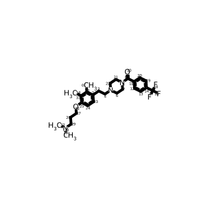 Cc1c(CCN2CCN(C(=O)c3ccc(C(F)(F)F)cc3)CC2)ccc(OCCCN(C)C)c1C